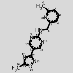 Cc1cccc(CNc2ncc(-c3noc(C(F)(F)F)n3)cn2)n1